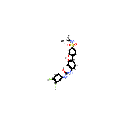 CC(C)[C@@H](NS(=O)(=O)c1ccc2c(c1)oc1cc(NC(=O)Nc3ccc(F)c(F)c3)ccc12)C(=O)O